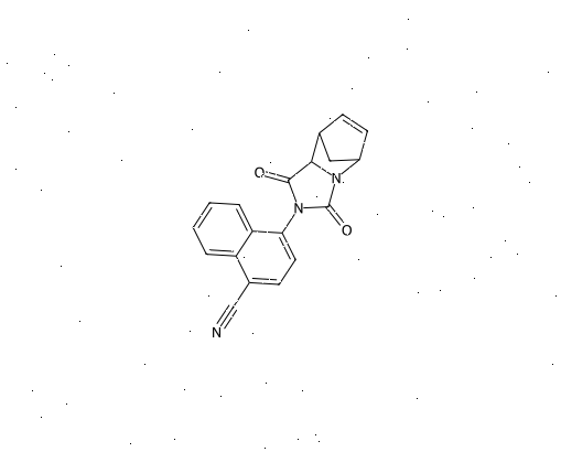 N#Cc1ccc(N2C(=O)C3C4C=CC(C4)N3C2=O)c2ccccc12